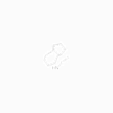 N=C=S.c1ccc2ccccc2c1